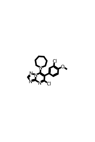 COc1ccc(-c2c(Cl)nc3ncnn3c2N2CCCCCC2)cc1Cl